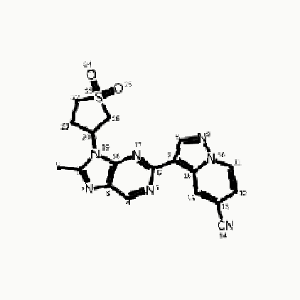 Cc1nc2cnc(-c3cnn4ccc(C#N)cc34)nc2n1C1CCS(=O)(=O)C1